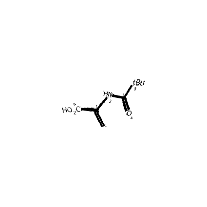 C=C(NC(=O)C(C)(C)C)C(=O)O